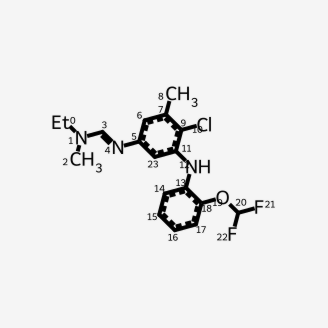 CCN(C)C=Nc1cc(C)c(Cl)c(Nc2ccccc2OC(F)F)c1